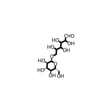 O=CC(O)C(O)C(O)C(O)CO[C@H]1O[C@H](CO)[C@@H](O)[C@H](O)[C@H]1O